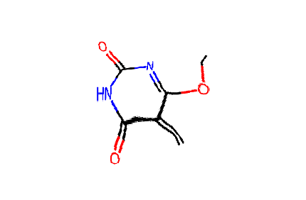 C=C1C(=O)NC(=O)N=C1OC